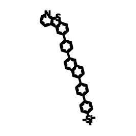 C[Si](C)(C)c1ccc(-c2ccc(-c3ccc4cc(-c5ccc(-c6ccc7sc8ncccc8c7c6)cc5)ccc4c3)cc2)cc1